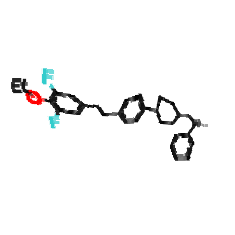 CCOc1c(F)cc(CCc2ccc(C3CCC(C[C@H](C)c4ccccc4)CC3)cc2)cc1F